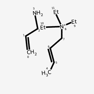 C=CCN.CC=CC[N+](CC)(CC)CC